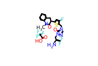 CN1C(=O)C(c2cc(F)c(Cn3cnn(CC(CN)=C(F)F)c3=O)s2)Cc2ccccc21.O=C(O)C(F)(F)F